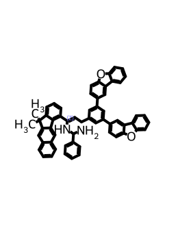 CC1(C)c2cc3ccccc3cc2-c2c(/C(=C/Cc3cc(-c4ccc5oc6ccccc6c5c4)cc(-c4ccc5oc6ccccc6c5c4)c3)NC(N)c3ccccc3)cccc21